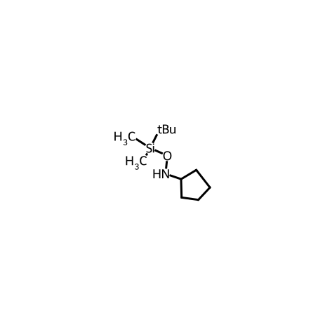 CC(C)(C)[Si](C)(C)ONC1CCCC1